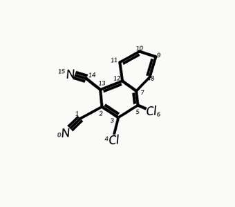 N#Cc1c(Cl)c(Cl)c2[c]cccc2c1C#N